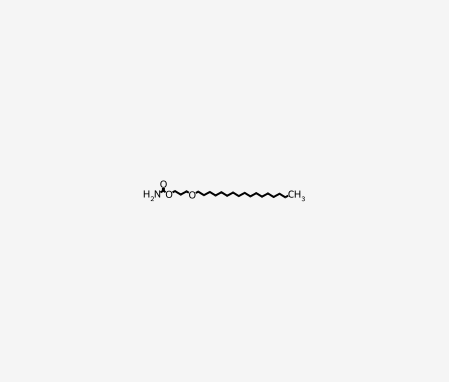 CCCCCCCCCCCCCCCCCOCCCOC(N)=O